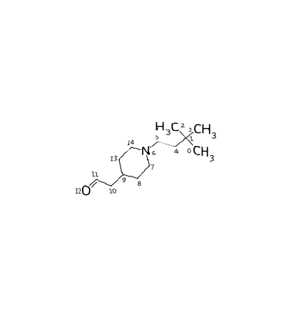 CC(C)(C)CCN1CCC(CC=O)CC1